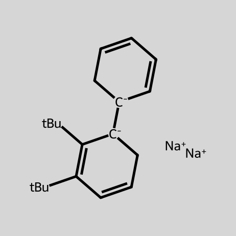 CC(C)(C)C1=C(C(C)(C)C)[C-]([C-]2C=CC=CC2)CC=C1.[Na+].[Na+]